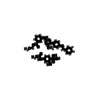 CC(=O)Nc1ccc([As](=O)(O)O)c(O)c1.CCOC(=O)c1cccc(Nc2nc(-c3ccc(OCc4ccccc4)cc3)c(C)s2)c1